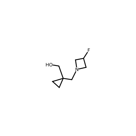 OCC1(CN2CC(F)C2)CC1